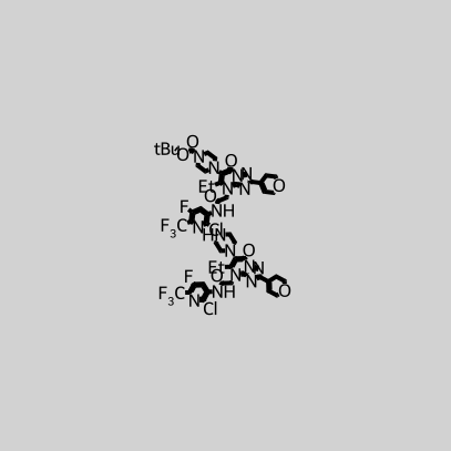 CCc1c(N2CCN(C(=O)OC(C)(C)C)CC2)c(=O)n2nc(C3=CCOCC3)nc2n1CC(=O)Nc1cc(F)c(C(F)(F)F)nc1Cl.CCc1c(N2CCNCC2)c(=O)n2nc(C3=CCOCC3)nc2n1CC(=O)Nc1cc(F)c(C(F)(F)F)nc1Cl